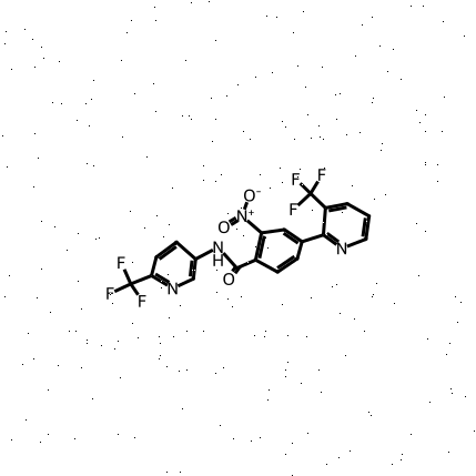 O=C(Nc1ccc(C(F)(F)F)nc1)c1ccc(-c2ncccc2C(F)(F)F)cc1[N+](=O)[O-]